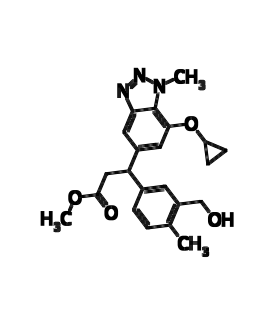 COC(=O)CC(c1ccc(C)c(CO)c1)c1cc(OC2CC2)c2c(c1)nnn2C